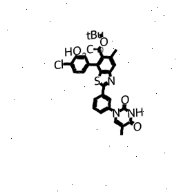 Cc1cc2nc(-c3cccc(-n4cc(C)c(=O)[nH]c4=O)c3)sc2c(-c2ccc(Cl)cc2)c1[C@H](OC(C)(C)C)C(=O)O